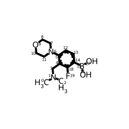 CN(C)Cc1c(N2CCOCC2)ccc(B(O)O)c1F